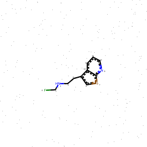 FCNCCc1csc2ncccc12